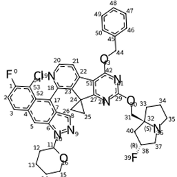 Fc1ccc2cc3c(cnn3C3CCCCO3)c(-c3nccc4c3C3(CC3)c3nc(OC[C@@]56CCCN5C[C@H](F)C6)nc(OCc5ccccc5)c3-4)c2c1Cl